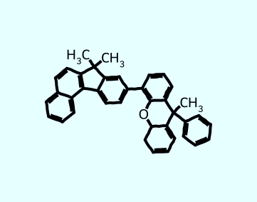 CC1(C)c2cc(-c3cccc4c3OC3CC=CC=C3C4(C)c3ccccc3)ccc2-c2c1ccc1ccccc21